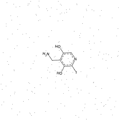 NCc1c(O)cnc(I)c1O